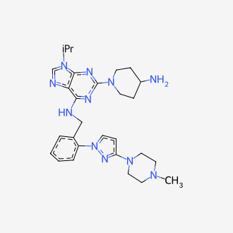 CC(C)n1cnc2c(NCc3ccccc3-n3ccc(N4CCN(C)CC4)n3)nc(N3CCC(N)CC3)nc21